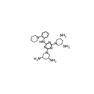 N[C@@H]1C[C@H](N)CN(c2nc(Nc3ccccc3N3CCCCC3)nc(N3C[C@H](N)C[C@H](N)C3)n2)C1